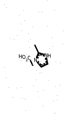 CC(=O)O.Cc1ncc[nH]1